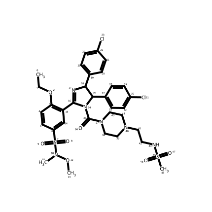 CCOc1ccc(S(=O)(=O)N(C)OC)cc1C1=NC(c2ccc(Cl)cc2)C(c2ccc(Cl)cc2)N1C(=O)N1CCN(CCNS(C)(=O)=O)CC1